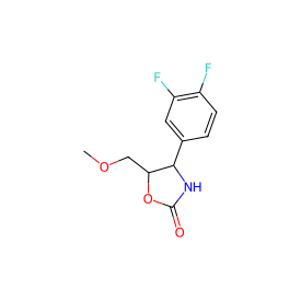 COCC1OC(=O)NC1c1ccc(F)c(F)c1